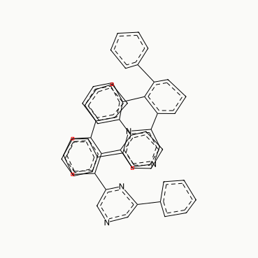 c1ccc(-c2cncc(-c3cccc(-c4ccccc4)c3-c3ccccc3-c3ccccc3-c3c(-c4ccccc4)cccc3-c3cncc(-c4ccccc4)n3)n2)cc1